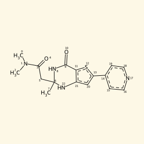 CN(C)C(=O)CC1(C)NC(=O)c2sc(-c3ccncc3)cc2N1